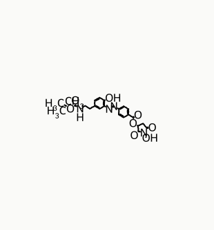 CC(C)(C)OC(=O)NCCc1ccc(O)c(/N=N/c2ccc(C(=O)OC3CC(=O)N(O)C3=O)cc2)c1